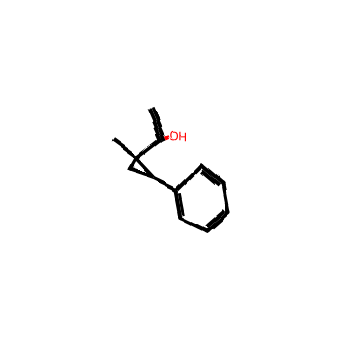 C=C(O)C1(C)CC1c1ccccc1